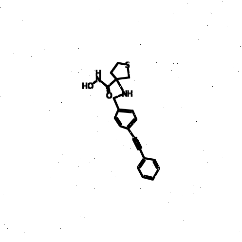 O=C(NO)C1(NCc2ccc(C#Cc3ccccc3)cc2)CCSC1